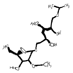 COC1C(OCC(O)C(O)C(O)COC(C)C)OC(CO)C1O